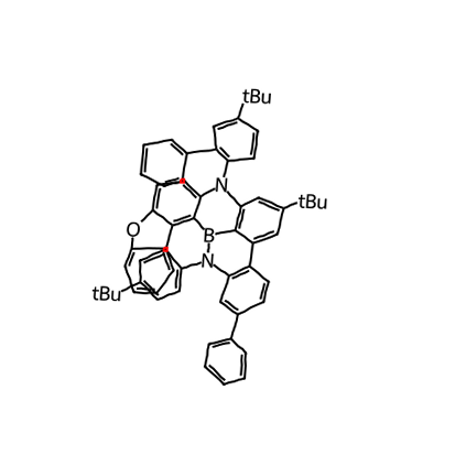 CC(C)(C)c1ccc(N2B3c4c(cc(C(C)(C)C)cc4N(c4ccc(C(C)(C)C)cc4-c4ccccc4)c4ccc5oc6ccccc6c5c43)-c3ccc(-c4ccccc4)cc32)cc1